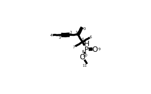 C=C(C#CC)C(C)(C)[PH](=O)OC